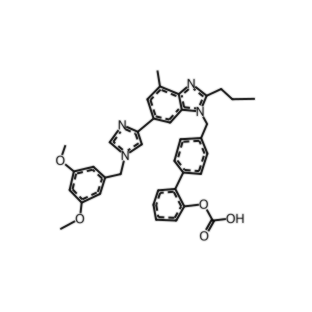 CCCc1nc2c(C)cc(-c3cn(Cc4cc(OC)cc(OC)c4)cn3)cc2n1Cc1ccc(-c2ccccc2OC(=O)O)cc1